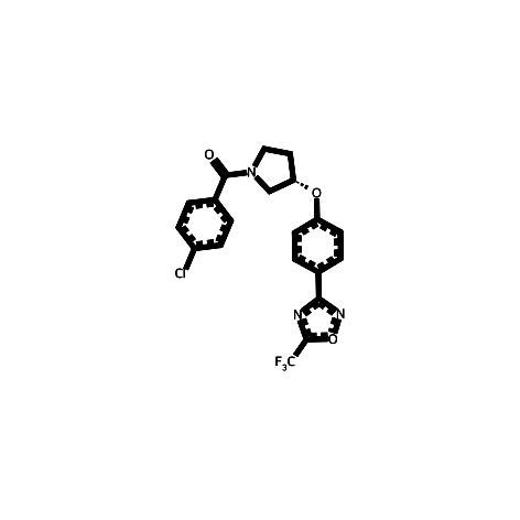 O=C(c1ccc(Cl)cc1)N1CC[C@H](Oc2ccc(-c3noc(C(F)(F)F)n3)cc2)C1